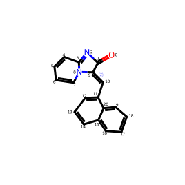 O=C1N=C2C=CC=CN2/C1=C\c1cccc2ccccc12